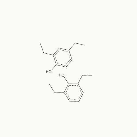 CCc1ccc(O)c(CC)c1.CCc1cccc(CC)c1O